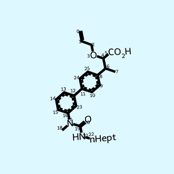 C=CCOC(C(=O)O)C(C)c1ccc(-c2cccc(N(C)C(=O)NCCCCCCC)c2)cc1